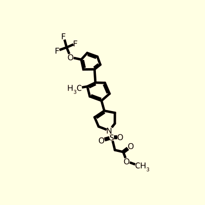 COC(=O)CS(=O)(=O)N1CC=C(c2ccc(-c3cccc(OC(F)(F)F)c3)c(C)c2)CC1